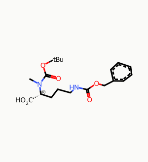 CN(C(=O)OC(C)(C)C)[C@H](CCCNC(=O)OCc1ccccc1)C(=O)O